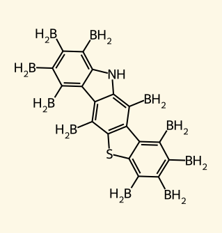 Bc1c(B)c(B)c2c([nH]c3c(B)c4c(sc5c(B)c(B)c(B)c(B)c54)c(B)c32)c1B